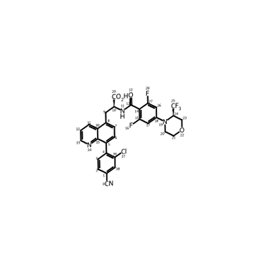 N#Cc1ccc(-c2ccc(C[C@H](NC(=O)c3c(F)cc(N4CCOC[C@@H]4C(F)(F)F)cc3F)C(=O)O)c3cccnc23)c(Cl)c1